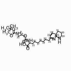 CC(C)(C)OC(=O)N1CC(OC(=O)N[C@@H](CCCCCCCc2ccc3c(n2)NCCC3)C(=O)O)C1